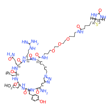 CC(C)C[C@@H]1NC(=O)[C@H](CC(=O)O)NC(=O)[C@H](Cc2ccc(O)cc2)NC(=O)[C@@H](N)Cc2cn(nn2)CCCC[C@@H](C(=O)NCCCOCCOCCOCCCNC(=O)CCCC[C@H]2SC[C@H]3NC(=O)N[C@H]32)NC(=O)[C@H](CCCNC(=N)N)NC(=O)[C@H](CCC(N)=O)NC1=O